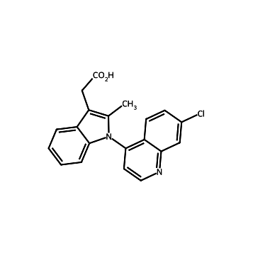 Cc1c(CC(=O)O)c2ccccc2n1-c1ccnc2cc(Cl)ccc12